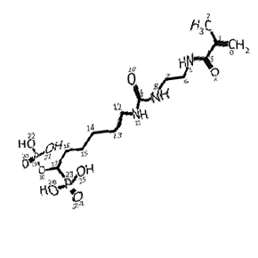 C=C(C)C(=O)NCCNC(=O)NCCCCCC(OP(=O)(O)O)P(=O)(O)O